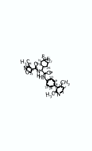 Cc1ccnc(C)c1-c1ccc(NC(=O)[C@@H](NC(=O)c2conc2C)C2CCC(F)(F)CC2)cc1